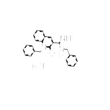 Cl.N=C(NCc1ccccc1)c1cc2ccccc2n(Cc2ccccc2)c1=O